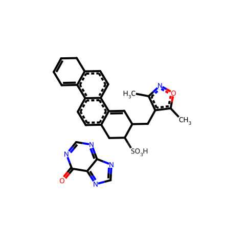 Cc1noc(C)c1CC1C=c2c(ccc3c4c(ccc23)CC=CC=4)CC1S(=O)(=O)O.O=C1N=CN=C2N=CN=C12